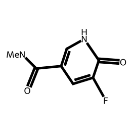 CNC(=O)c1c[nH]c(=O)c(F)c1